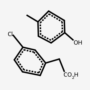 Cc1ccc(O)cc1.O=C(O)Cc1cccc(Cl)c1